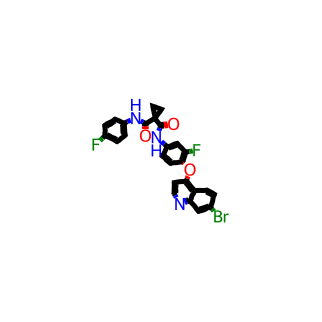 O=C(Nc1ccc(F)cc1)C1(C(=O)Nc2ccc(Oc3ccnc4cc(Br)ccc34)c(F)c2)CC1